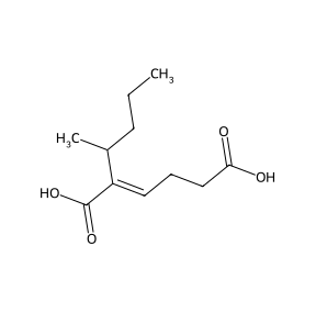 CCCC(C)/C(=C\CCC(=O)O)C(=O)O